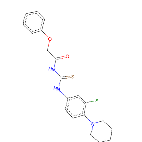 O=C(COc1ccccc1)NC(=S)Nc1ccc(N2CCCCC2)c(F)c1